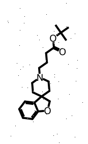 CC(C)(C)OC(=O)CCCN1CCC2(CC1)COc1ccccc12